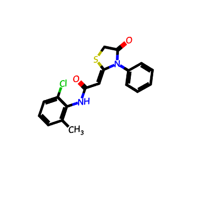 Cc1cccc(Cl)c1NC(=O)C=C1SCC(=O)N1c1ccccc1